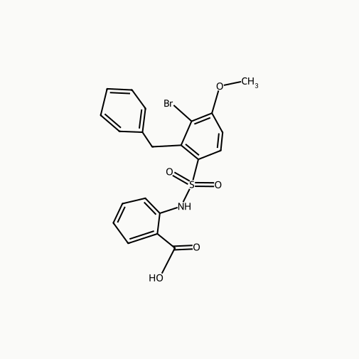 COc1ccc(S(=O)(=O)Nc2ccccc2C(=O)O)c(Cc2ccccc2)c1Br